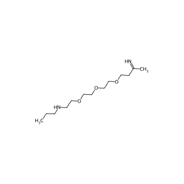 CCCNCCOCCOCCOCCC(C)=N